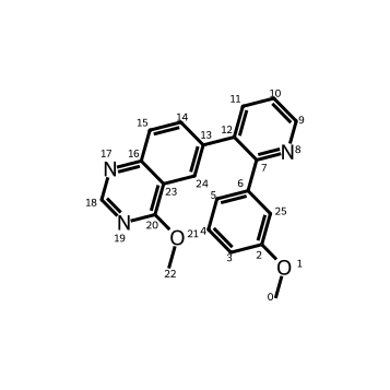 COc1cccc(-c2ncccc2-c2ccc3ncnc(OC)c3c2)c1